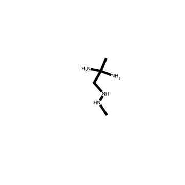 CNNCC(C)(N)N